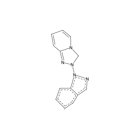 [c]1ccc2c(c1)cnn2N1CN2C=CC=CC2=N1